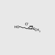 C[n+]1ccn(CCCCO)c1.[Cl-]